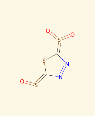 O=S=C1N=NC(=S(=O)=O)S1